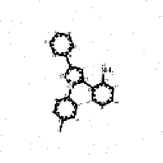 Cc1ccc(-n2nc(-c3ccccc3)cc2-c2ccccc2N)cc1